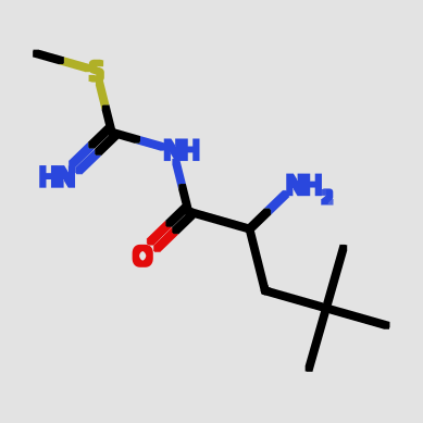 CSC(=N)NC(=O)C(N)CC(C)(C)C